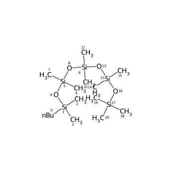 CCCC[Si](C)(C)O[Si](C)(C)O[Si](C)(C)O[Si](C)(C)O[Si](C)(C)C